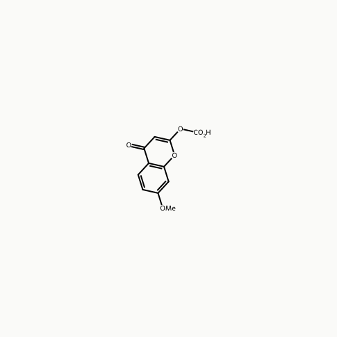 COc1ccc2c(=O)cc(OC(=O)O)oc2c1